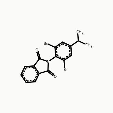 CC(C)c1cc(Br)c(N2C(=O)c3ccccc3C2=O)c(Br)c1